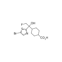 O=C(O)C1CCC(C(O)(CF)c2ncc(Br)s2)CC1